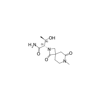 C[C@@H](O)[C@@H](C(N)=O)N1CC2(CCN(C)C(=O)C2)C1=O